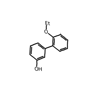 CCOc1[c]cccc1-c1cccc(O)c1